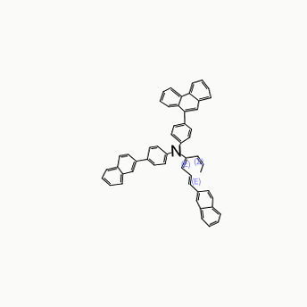 C\C=C/C(=C\C=C\c1ccc2ccccc2c1)N(c1ccc(-c2ccc3ccccc3c2)cc1)c1ccc(-c2cc3ccccc3c3ccccc23)cc1